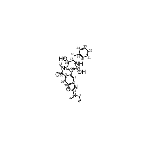 CCN(C)c1nc2ccc(C(=O)N(C)C[C@@H](O)[C@H](Cc3ccccc3)NC(=O)O)cc2o1